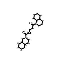 O=C(NCCC(=O)N1CCCC2CCCCC21)N1CCC2CCCCC2C1